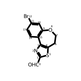 O=Cc1nc2c(s1)CCOc1cc(Br)ccc1-2